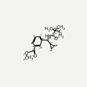 COC(=O)c1cccc([C@@H](N[S@@+]([O-])C(C)(C)C)C2CC2)c1